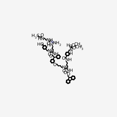 CCC(=O)NCCNC(=O)/N=C(/N)NCCC[C@@H](NC(=O)C(c1ccccc1)c1cccc(OCCCCNC(=O)[C@@H](CCCCNC(=O)c2ccc(CNC(=O)OC(C)(C)C)cc2)NC(=O)OCC2c3ccccc3-c3ccccc32)c1)C(=O)NCc1ccc(O)cc1